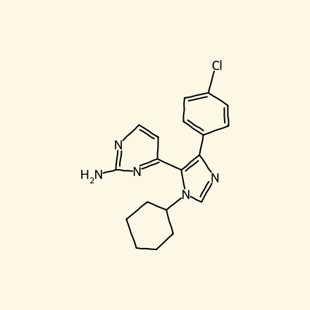 Nc1nccc(-c2c(-c3ccc(Cl)cc3)ncn2C2CCCCC2)n1